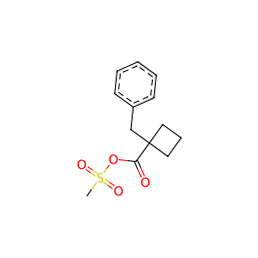 CS(=O)(=O)OC(=O)C1(Cc2ccccc2)CCC1